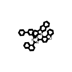 c1ccc(-c2cccc(-c3nc(-c4ccc5oc6ccccc6c5c4-n4c5ccccc5c5cc6ccccc6cc54)nc(-c4cccc5ccccc45)n3)c2)cc1